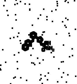 NC(=O)N(O)CC1CCC(c2ccccc2Cc2ccc3ccccc3n2)C1